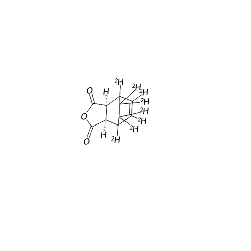 [2H]C1=C([2H])C2([2H])[C@H]3C(=O)OC(=O)[C@H]3C1([2H])C([2H])([2H])C2([2H])[2H]